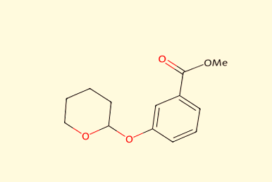 COC(=O)c1cccc(OC2CCCCO2)c1